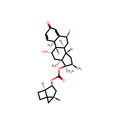 C[C@@H]1C[C@H]2[C@@H]3C[C@H](F)C4=CC(=O)C=C[C@]4(C)[C@@]3(F)[C@@H](O)C[C@]2(C)[C@@]1(OC(=O)O[C@H]1C[C@@H]2CC23CC[C@@H]13)C(=O)O